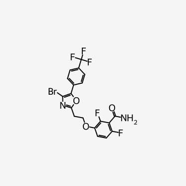 NC(=O)c1c(F)ccc(OCCc2nc(Br)c(-c3ccc(C(F)(F)F)cc3)o2)c1F